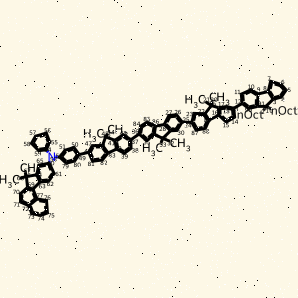 CCCCCCCCC1(CCCCCCCC)c2ccccc2-c2ccc(-c3ccc4c(c3)C(C)(C)c3cc(-c5ccc6c(c5)C(C)(C)c5cc(-c7ccc8c(c7)C(C)(C)c7cc(-c9ccc(N(c%10ccccc%10)c%10ccc%11c(c%10)C(C)(C)c%10ccc%12ccccc%12c%10-%11)cc9)ccc7-8)ccc5-6)ccc3-4)cc21